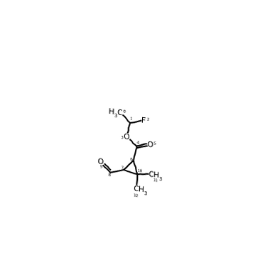 CC(F)OC(=O)C1C(C=O)C1(C)C